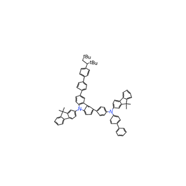 CC(C)(C)CC(c1ccc(-c2ccc(-c3ccc4c(c3)c3cc(-c5ccc(N(c6ccc(-c7ccccc7)cc6)c6ccc7c(c6)C(C)(C)c6ccccc6-7)cc5)ccc3n4-c3ccc4c(c3)C(C)(C)c3ccccc3-4)cc2)cc1)C(C)(C)C